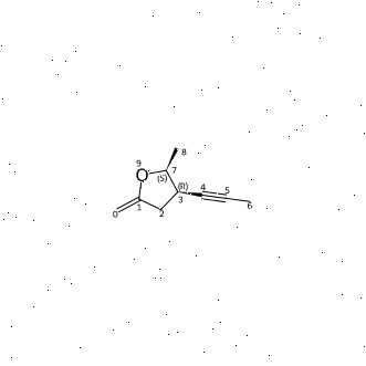 C=C1C[C@H](C#CC)[C@H](C)O1